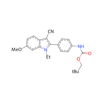 CCn1c(-c2ccc(NC(=O)OCC(C)(C)C)cc2)c(C#N)c2ccc(OC)cc21